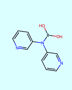 OB(O)N(c1cccnc1)c1cccnc1